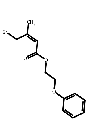 CC(=CC(=O)OCCOc1ccccc1)CBr